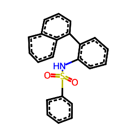 O=S(=O)(Nc1ccccc1-c1cccc2ccccc12)c1ccccc1